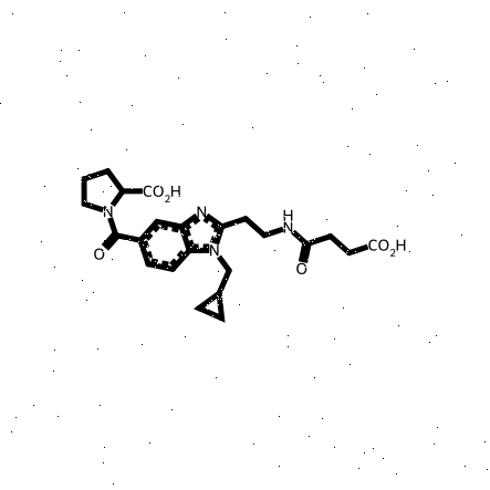 O=C(O)CCC(=O)NCCc1nc2cc(C(=O)N3CCCC3C(=O)O)ccc2n1CC1CC1